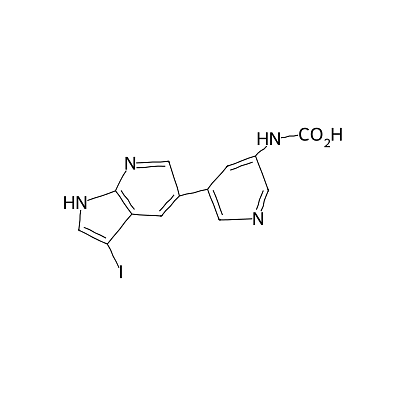 O=C(O)Nc1cncc(-c2cnc3[nH]cc(I)c3c2)c1